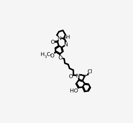 COc1cc2c(cc1OCCCCCC(=O)N1C[C@@H](CCl)c3c1cc(O)c1ccccc31)N=C[C@@H]1CCCCN1C2=O